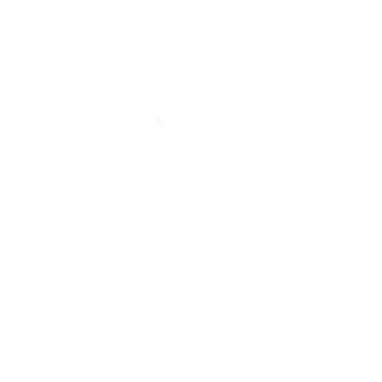 C=CCC(CCOc1ccccc1)S(=O)(=O)O